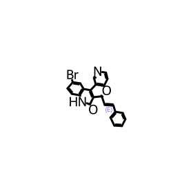 O=C(/C=C/c1ccccc1)c1c(-c2cccnc2)c2cc(Br)ccc2[nH]c1=O